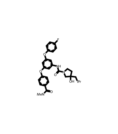 CNC(=O)c1ccc(Oc2cc(NC(=O)N3CCC(O)(CC(C)C)C3)cc(Oc3ccc(F)cc3)c2)cc1